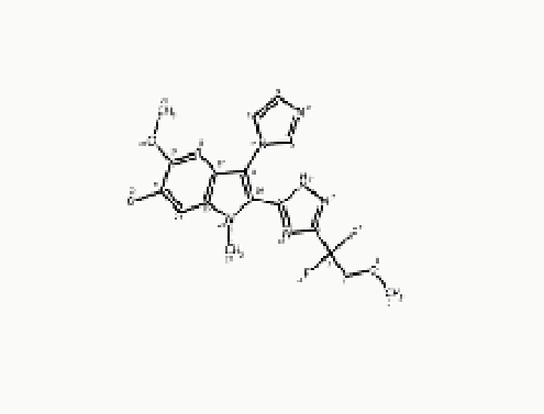 COCC(F)(F)c1n[nH]c(-c2c(-n3ccnc3)c3nc(OC)c(Cl)cc3n2C)n1